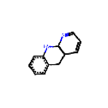 C1=CC2Cc3ccccc3NC2N=C1